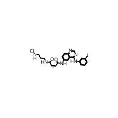 O=C(/C=C\C(=O)Nc1ccc2ncnc(Nc3cccc(I)c3)c2c1)NCCCNCl